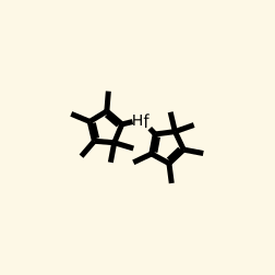 CC1=C(C)C(C)(C)[C]([Hf][C]2=C(C)C(C)=C(C)C2(C)C)=C1C